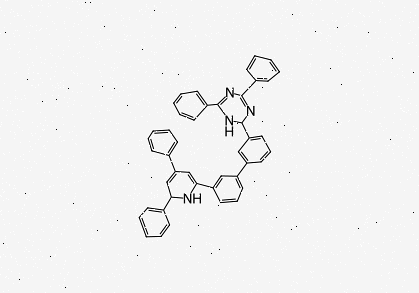 C1=C(c2ccccc2)C=C(c2cccc(-c3cccc(C4N=C(c5ccccc5)N=C(c5ccccc5)N4)c3)c2)NC1c1ccccc1